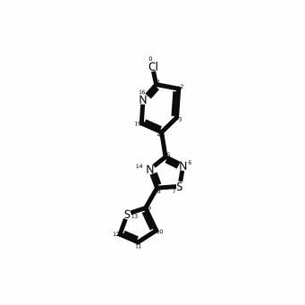 Clc1ccc(-c2nsc(-c3cccs3)n2)cn1